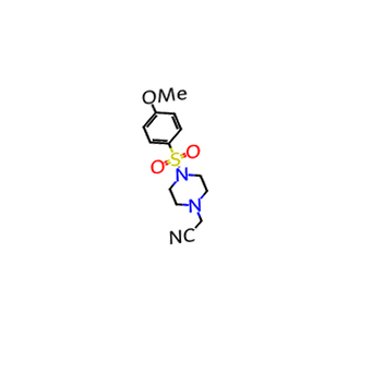 COc1ccc(S(=O)(=O)N2CCN(CC#N)CC2)cc1